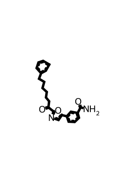 NC(=O)c1cccc(-c2cnc(C(=O)CCCCCCc3ccccc3)o2)c1